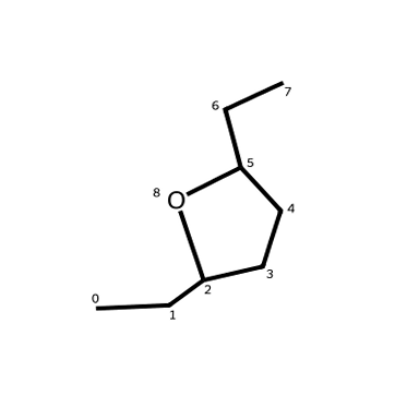 CCC1CCC(CC)O1